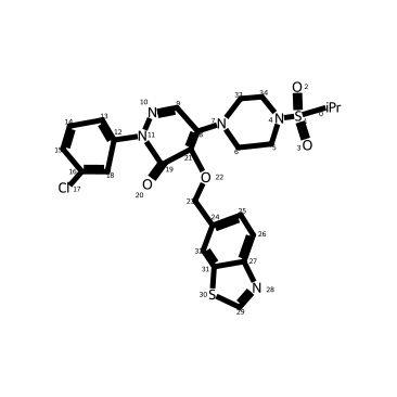 CC(C)S(=O)(=O)N1CCN(c2cnn(-c3cccc(Cl)c3)c(=O)c2OCc2ccc3ncsc3c2)CC1